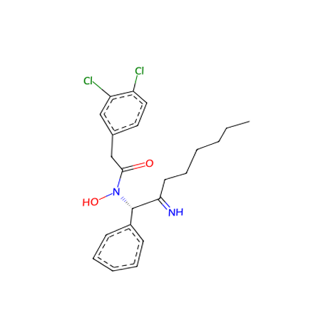 CCCCCCC(=N)[C@H](c1ccccc1)N(O)C(=O)Cc1ccc(Cl)c(Cl)c1